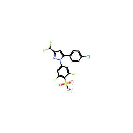 CS(=O)(=O)c1c(F)cc(-n2nc(C(F)F)cc2-c2ccc(Cl)cc2)cc1F